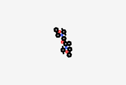 Cc1ccc(C)c(N(c2ccc3c(c2)oc2cc(N(c4cc(C)ccc4C)c4cccc5c4oc4ccccc45)c4ccccc4c23)c2cccc3c2oc2ccccc23)c1